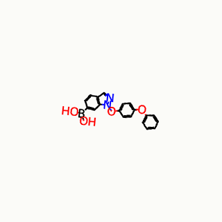 OB(O)c1ccc2cnn(Oc3ccc(Oc4ccccc4)cc3)c2c1